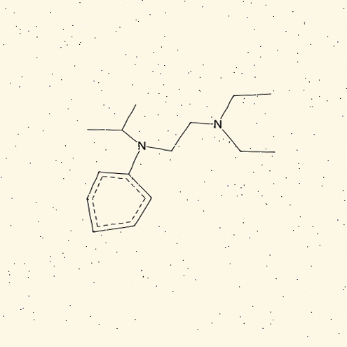 CCN(CC)CCN(c1ccccc1)C(C)C